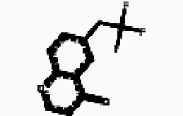 O=c1ccoc2ccc([CH]C(F)(F)F)cc12